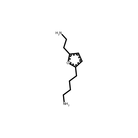 NCCCCc1ccc(CCN)o1